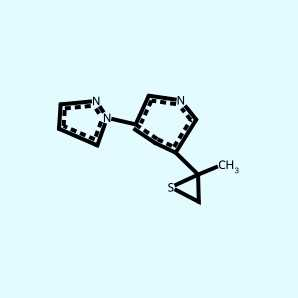 CC1(c2cncc(-n3cccn3)c2)CS1